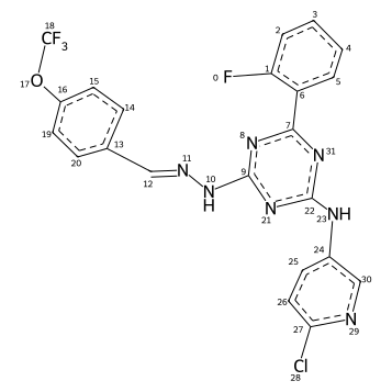 Fc1ccccc1-c1nc(N/N=C/c2ccc(OC(F)(F)F)cc2)nc(Nc2ccc(Cl)nc2)n1